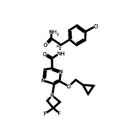 NC(=O)[C@@H](NC(=O)c1cnc(N2CC(F)(F)C2)c(OCC2CC2)n1)c1ccc(Cl)cc1